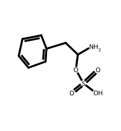 NC(Cc1ccccc1)OS(=O)(=O)O